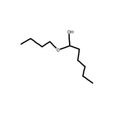 CCCCCC(O)OCCCC